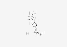 CC(C)[C@H](N)C(=O)N1CCC[C@H]1c1nc2cc(B3OC(C)(C)C(C)(C)O3)ccc2[nH]1